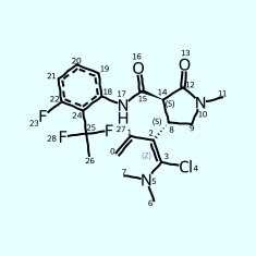 C=C/C(=C(/Cl)N(C)C)[C@H]1CN(C)C(=O)[C@@H]1C(=O)Nc1cccc(F)c1C(C)(F)F